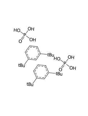 CC(C)(C)c1cccc(C(C)(C)C)c1.CC(C)(C)c1cccc(C(C)(C)C)c1.O=P(O)(O)O.O=P(O)(O)O